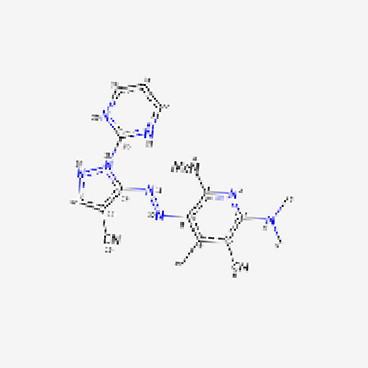 CNc1nc(N(C)C)c(C#N)c(C)c1/N=N/c1c(C#N)cnn1-c1ncccn1